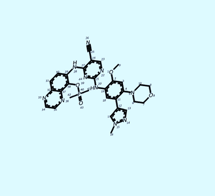 COc1cc(N2CCOCC2)c(-c2cnn(C)c2)cc1Nc1ncc(C#N)c(Nc2ccc3nccnc3c2OP(C)(C)=O)n1